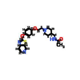 CC(=O)NCC1CCN(CCOc2ccc(Oc3nc4ccncc4s3)cc2)CC1